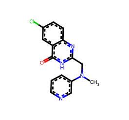 CN(Cc1nc2ccc(Cl)cc2c(=O)[nH]1)c1cccnc1